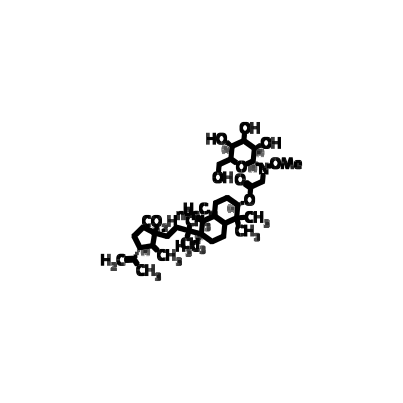 C=C(C)[C@@H]1CC[C@@](CCC(C)(C)[C@]2(C)CCC3C(C)(C)[C@@H](OC(=O)CN(OC)[C@@H]4OC(CO)[C@@H](O)C(O)[C@H]4O)CC[C@]3(C)C2CCC)(C(=O)O)C1C